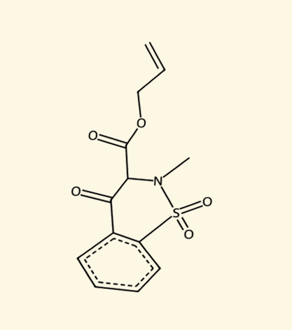 C=CCOC(=O)C1C(=O)c2ccccc2S(=O)(=O)N1C